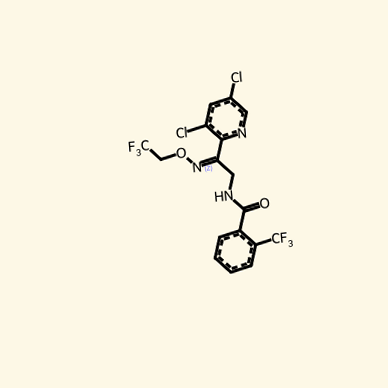 O=C(NC/C(=N/OCC(F)(F)F)c1ncc(Cl)cc1Cl)c1ccccc1C(F)(F)F